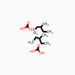 CCC(C)CC.CCC(C)CC.O=C(O)O.O=C(O)O